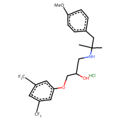 COc1ccc(CC(C)(C)NCC(O)COc2cc(C(F)(F)F)cc(C(F)(F)F)c2)cc1.Cl